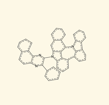 c1ccc(-c2nc3ccc4ccccc4c3nc2-n2c3cccc4c5cccc6c7ccccc7n(c56)c5c6ccccc6cc2c5c43)cc1